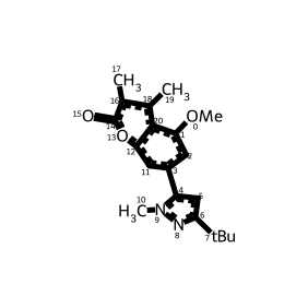 COc1cc(-c2cc(C(C)(C)C)nn2C)cc2oc(=O)c(C)c(C)c12